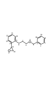 c1ccc(COCCCc2ccccc2C2CO2)cc1